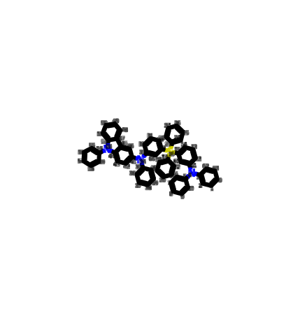 c1ccc(N(c2ccccc2)c2cccc(S(c3ccccc3)(c3ccccc3)c3cccc(N(c4ccccc4)c4ccc5c(c4)c4ccccc4n5-c4ccccc4)c3)c2)cc1